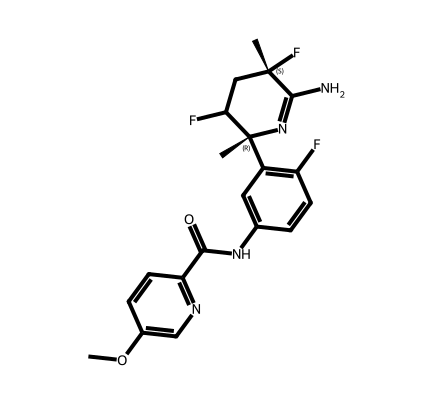 COc1ccc(C(=O)Nc2ccc(F)c([C@@]3(C)N=C(N)[C@@](C)(F)CC3F)c2)nc1